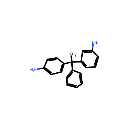 CC(c1ccccc1)(c1ccc(N)cc1)c1cccc(N)c1